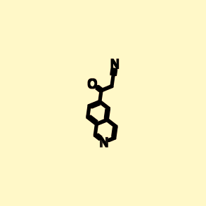 N#CCC(=O)c1ccc2cnccc2c1